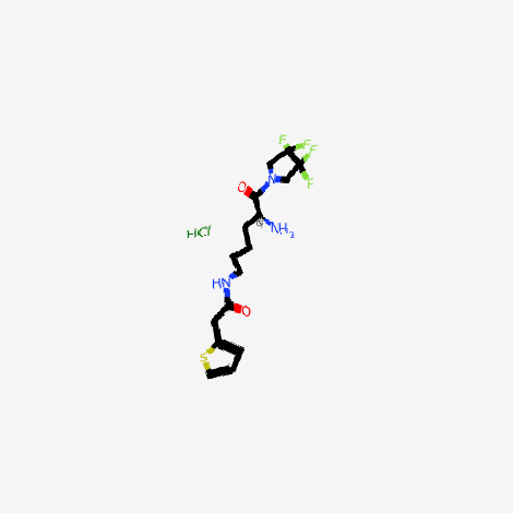 Cl.N[C@@H](CCCCNC(=O)Cc1cccs1)C(=O)N1CC(F)(F)C(F)(F)C1